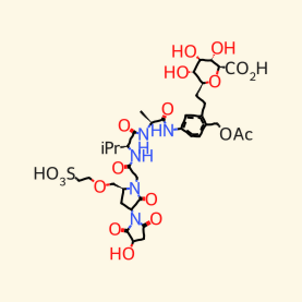 CC(=O)OCc1ccc(NC(=O)[C@H](C)NC(=O)[C@@H](NC(=O)CN2C(=O)[C@@H](N3C(=O)CC(O)C3=O)C[C@H]2COCCS(=O)(=O)O)C(C)C)cc1CC[C@@H]1O[C@H](C(=O)O)[C@@H](O)[C@H](O)[C@H]1O